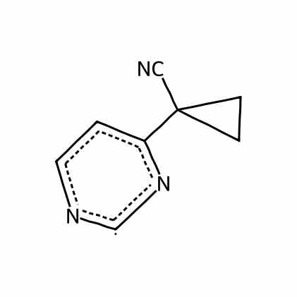 N#CC1(c2ccn[c]n2)CC1